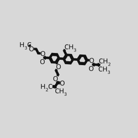 C=C(C)C(=O)OCCOc1cc(C(=O)OCCOC)ccc1-c1ccc(-c2ccc(OC(=O)C(=C)C)cc2)cc1CC